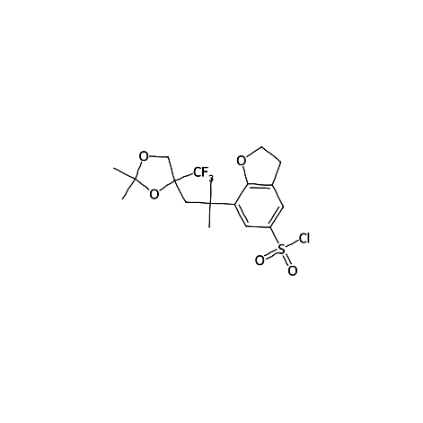 CC1(C)OCC(CC(C)(C)c2cc(S(=O)(=O)Cl)cc3c2OCC3)(C(F)(F)F)O1